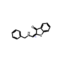 O=C1/C(=C\NCc2ccccc2)Sc2ccccc21